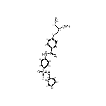 COC(CCc1ccc(C(=O)Nc2ccc(S(=O)(=O)Oc3ccccc3)cc2)cc1)CC(C)=O